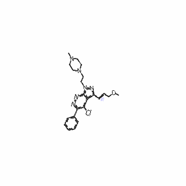 COC/C=C/c1nn(CCN2CCN(C)CC2)c2nnc(-c3ccccc3)c(Cl)c12